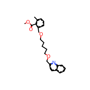 COC(=O)c1c(C)cccc1COCCCCCOCc1ccc2ccccc2n1